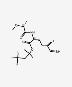 CO[C@H](C)C(=O)N[C@@H](CCC(=O)C=N)C(=O)OC(C)(C)CC(F)(F)F